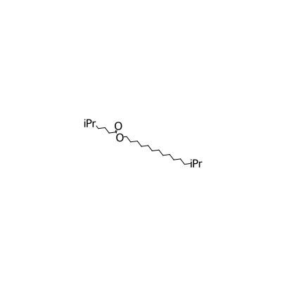 CC(C)CCCCCCCCCCCCOC(=O)CCCC(C)C